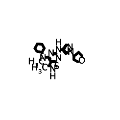 CC1NSc2nc(Nc3cnn(C4CCOCC4)c3)nc(N(C)C3CCCCC3)c21